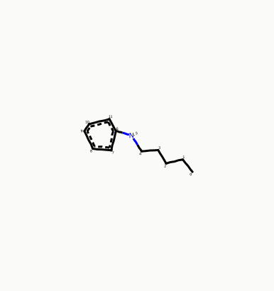 CCCCC[N]c1ccccc1